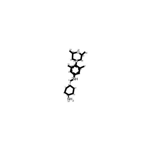 Cc1cc(NC[C@H]2CC[C@H](N)CC2)cc(C)c1N1CC(C)OC(C)C1